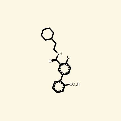 O=C(NCCC1CCCCC1)c1cc(-c2ccccc2C(=O)O)ccc1Cl